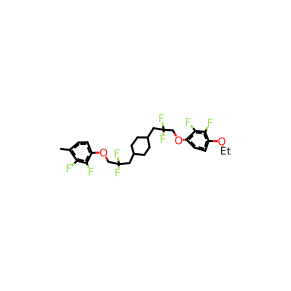 CCOc1ccc(OCC(F)(F)CC2CCC(CC(F)(F)COc3ccc(C)c(F)c3F)CC2)c(F)c1F